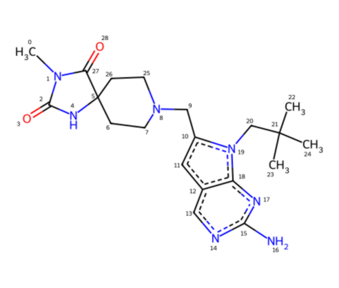 CN1C(=O)NC2(CCN(Cc3cc4cnc(N)nc4n3CC(C)(C)C)CC2)C1=O